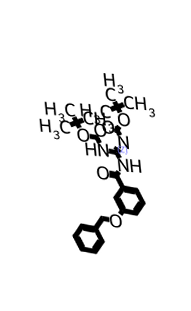 CC(C)(C)OC(=O)/N=C(\NC(=O)OC(C)(C)C)NC(=O)c1cccc(OCc2ccccc2)c1